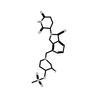 CS(=O)(=O)OC1CCN(Cc2cccc3c2CN(C2CCC(=O)NC2=O)C3=O)CC1F